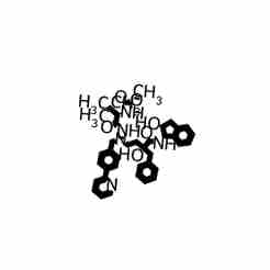 COC(=O)N[C@H](C(=O)NN(CC[C@@](O)(Cc1ccccc1)C(=O)N[C@H]1c2ccccc2C[C@H]1O)Cc1ccc(-c2ccccn2)cc1)C(C)(C)C